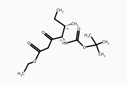 CCOC(=O)CC(=O)[C@@H](NC(=O)OC(C)(C)C)[C@@H](C)CC